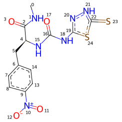 CNC(=O)[C@H](Cc1ccc([N+](=O)[O-])cc1)NC(=O)Nc1n[nH]c(=S)s1